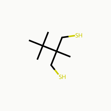 CC(C)(C)C(C)(CS)CS